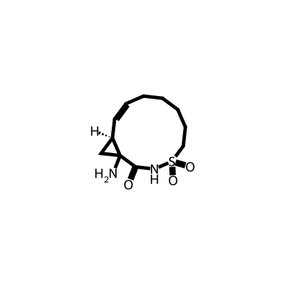 NC12C[C@H]1/C=C\CCCCCS(=O)(=O)NC2=O